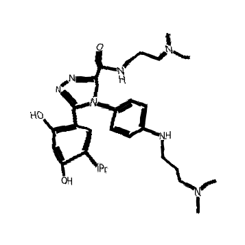 CC(C)c1cc(-c2nnc(C(=O)NCCN(C)C)n2-c2ccc(NCCCN(C)C)cc2)c(O)cc1O